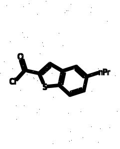 CCCc1ccc2sc(C(=O)Cl)cc2c1